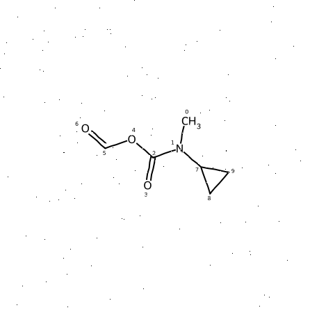 CN(C(=O)OC=O)C1CC1